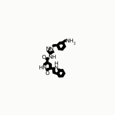 NCc1cccc(Cn2cc(NC(=O)c3c[nH]c(=O)c(-c4cc5ccccc5[nH]4)c3)cn2)c1